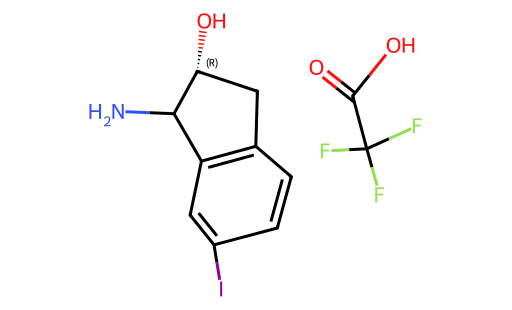 NC1c2cc(I)ccc2C[C@H]1O.O=C(O)C(F)(F)F